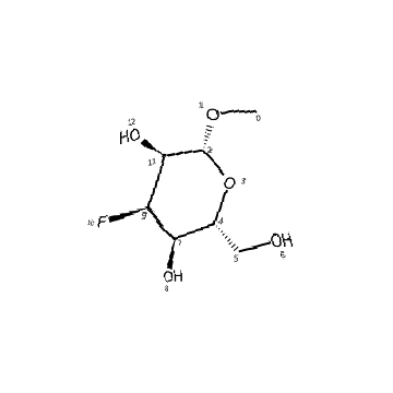 CO[C@@H]1O[C@H](CO)[C@@H](O)[C@@H](F)[C@H]1O